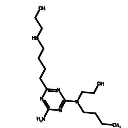 CCCCN(CCO)c1nc(N)nc(CCCCNCCO)n1